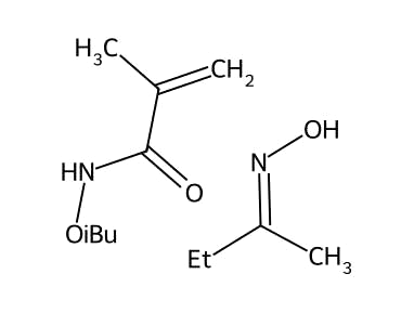 C=C(C)C(=O)NOCC(C)C.CCC(C)=NO